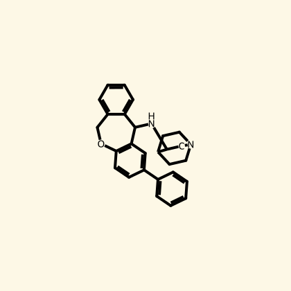 c1ccc(-c2ccc3c(c2)C(NC2CN4CCC2CC4)c2ccccc2CO3)cc1